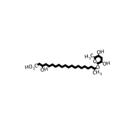 C[C@H](CCCCCCCCCCCCCCC[C@@H](O)CC(=O)O)O[C@@H]1O[C@@H](C)[C@H](O)C[C@H]1O